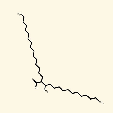 CCCCCCCCCCCCCCCCC(C(=O)O)C(C)CCCCCCCCCCCC